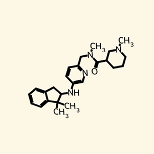 CN1CCCC(C(=O)N(C)Cc2ccc(NC3Cc4ccccc4C3(C)C)cn2)C1